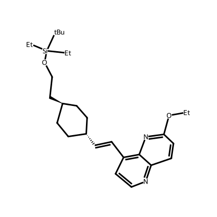 CCOc1ccc2nccc(C=C[C@H]3CC[C@H](CCO[Si](CC)(CC)C(C)(C)C)CC3)c2n1